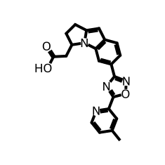 Cc1ccnc(-c2nc(-c3ccc4cc5n(c4c3)C(CC(=O)O)CC5)no2)c1